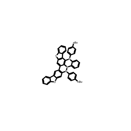 CCCCc1ccc(N2B3c4ccccc4N(c4ccc(CCCC)cc4)c4c3c(cc3sc5ccccc5c43)-c3cc4c(cc32)oc2ccccc24)cc1